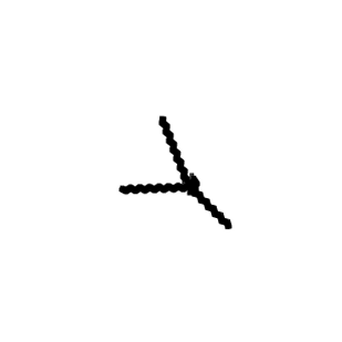 CCCCCCCCCCCCCCC1N(CCCCCCCCCCC)C=CN1CCCCCCCCCCCCCC